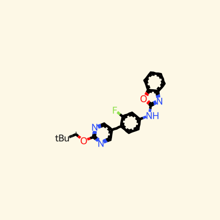 [CH2]C(C)(C)[CH]Oc1ncc(-c2ccc(Nc3nc4ccccc4o3)cc2F)cn1